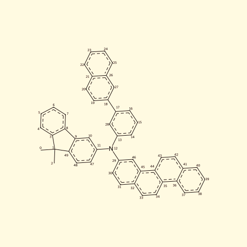 CC1(C)c2ccccc2-c2cc(N(c3cccc(-c4ccc5ccccc5c4)c3)c3ccc4ccc5c6ccccc6ccc5c4c3)ccc21